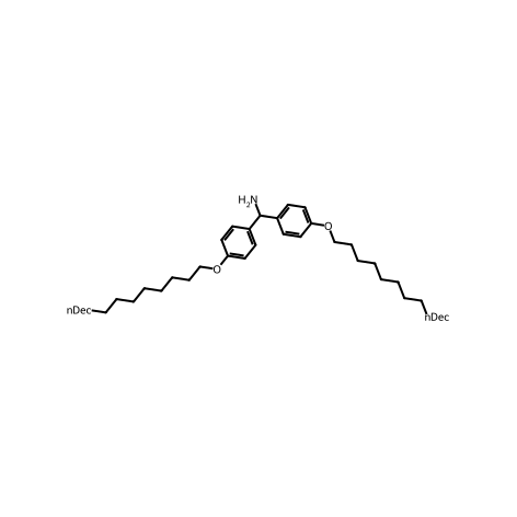 CCCCCCCCCCCCCCCCCCOc1ccc(C(N)c2ccc(OCCCCCCCCCCCCCCCCCC)cc2)cc1